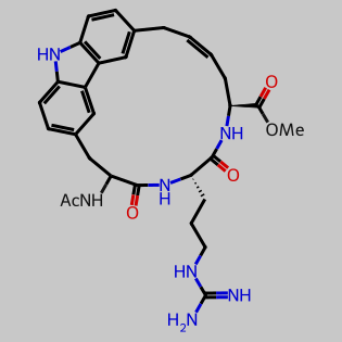 COC(=O)[C@@H]1CC=CCc2ccc3[nH]c4ccc(cc4c3c2)CC(NC(C)=O)C(=O)N[C@@H](CCCNC(=N)N)C(=O)N1